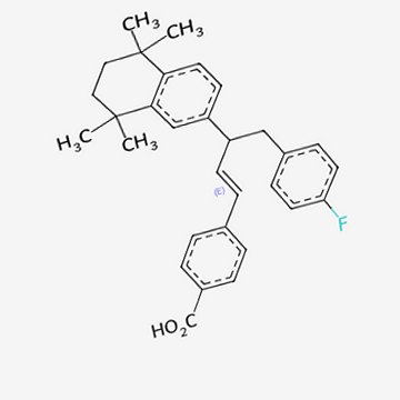 CC1(C)CCC(C)(C)c2cc(C(/C=C/c3ccc(C(=O)O)cc3)Cc3ccc(F)cc3)ccc21